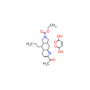 CCCC1C2CC=C(C(C)=O)N=C2CC2CN(C(=O)OCC)CC21.O=C(O)/C=C\C(=O)O